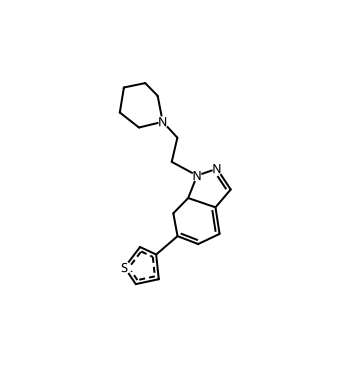 C1=NN(CCN2CCCCC2)C2CC(c3ccsc3)=CC=C12